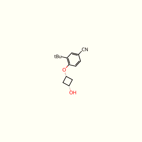 CC(C)(C)c1cc(C#N)ccc1O[C@H]1C[C@@H](O)C1